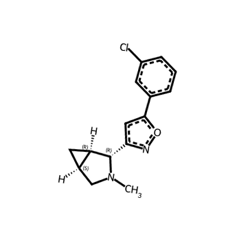 CN1C[C@H]2C[C@H]2[C@@H]1c1cc(-c2cccc(Cl)c2)on1